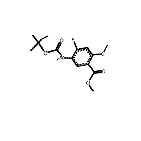 COC(=O)c1cc(NC(=O)OC(C)(C)C)c(F)cc1OC